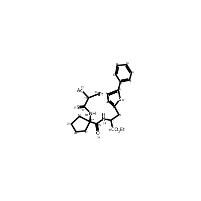 CCOC(=O)C(Cc1ccc(-c2ccccc2)s1)NC(=O)C1(NC(=S)C(C(C)=O)C(C)C)CCCC1